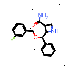 NC(=O)C1CNC1C(OCc1cccc(F)c1)c1ccccc1